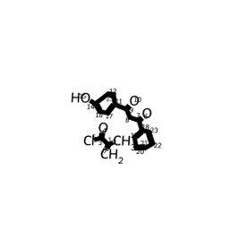 C=C(C)C(=O)Cl.O=C(CC(=O)c1ccc(O)cc1)c1ccccc1